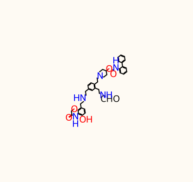 O=CNCCc1cc(CCNCCc2ccc(O)c3c2OCC(=O)N3)ccc1CCN1CCC(OC(=O)Nc2ccccc2-c2ccccc2)CC1